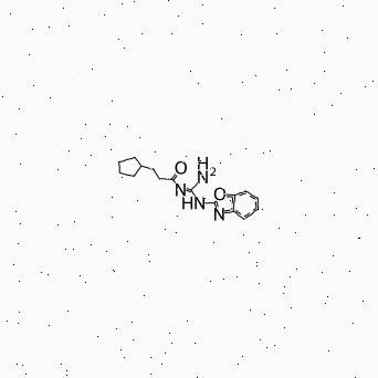 N/C(=N\C(=O)CCC1CCCC1)Nc1nc2ccccc2o1